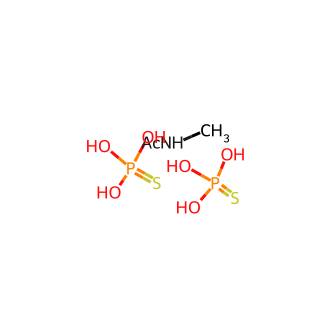 CNC(C)=O.OP(O)(O)=S.OP(O)(O)=S